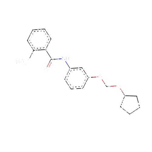 O=C(O)c1ccccc1C(=O)Nc1cccc(OCOC2CCCC2)c1